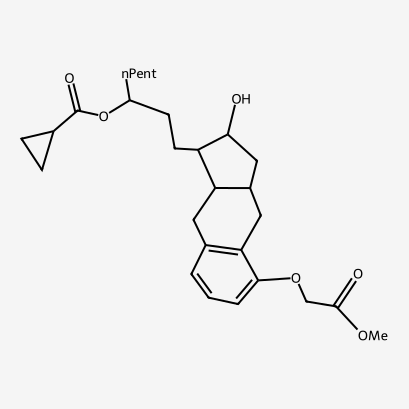 CCCCCC(CCC1C(O)CC2Cc3c(cccc3OCC(=O)OC)CC21)OC(=O)C1CC1